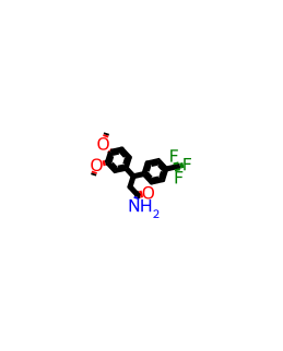 COc1ccc(C(CC(N)=O)c2ccc(C(F)(F)F)cc2)cc1OC